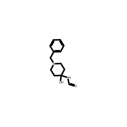 O=CNC1(O)CCN(Cc2ccccc2)CC1